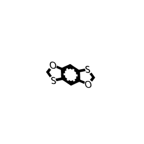 c1c2c(cc3c1SCO3)SCO2